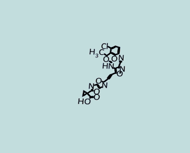 CC(OC(=O)Nc1c(C#N)noc1C#Cc1nc2oc(C3(C(=O)O)CC3)nc2o1)c1ccccc1Cl